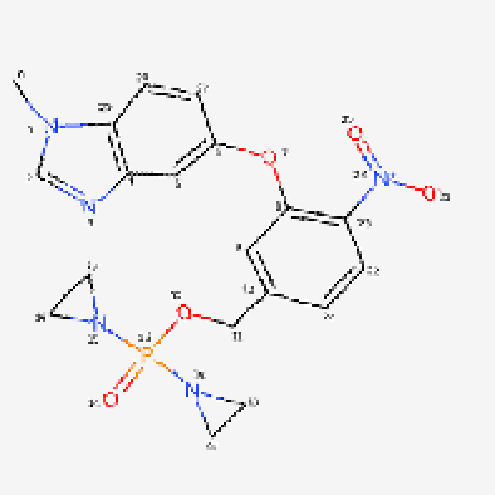 Cn1cnc2cc(Oc3cc(COP(=O)(N4CC4)N4CC4)ccc3[N+](=O)[O-])ccc21